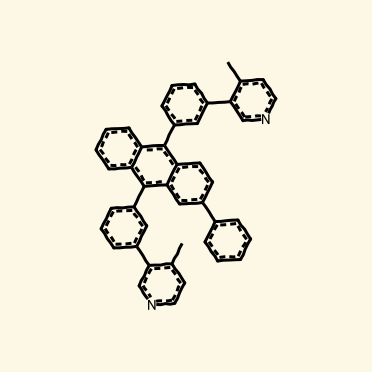 Cc1ccncc1-c1cccc(-c2c3ccccc3c(-c3cccc(-c4cnccc4C)c3)c3cc(-c4ccccc4)ccc23)c1